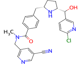 CN(Cc1cncc(C#N)c1)C(=O)c1ccc(C[C@@H]2CC[C@H](C(O)c3ccc(Cl)nc3)N2)cc1